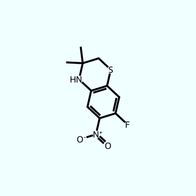 CC1(C)CSc2cc(F)c([N+](=O)[O-])cc2N1